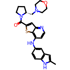 Cc1cc2cc(Nc3ccnc4cc(C(=O)N5CCC[C@@H]5CN5CCOCC5)sc34)ccc2[nH]1